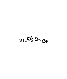 COc1ccc2nc(-c3ccc(C=Cc4ccc(F)cc4)cc3)sc2c1